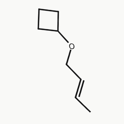 CC=CCOC1CCC1